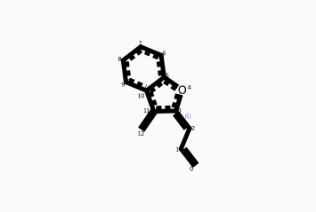 C=C/C=c1/oc2ccccc2c1=C